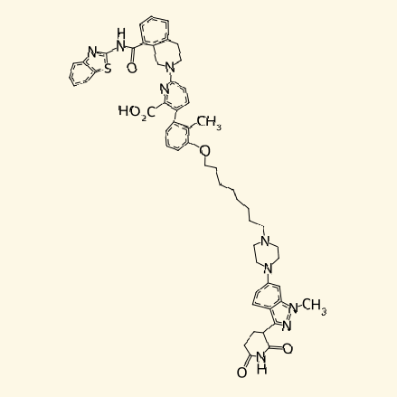 Cc1c(OCCCCCCCCN2CCN(c3ccc4c(C5CCC(=O)NC5=O)nn(C)c4c3)CC2)cccc1-c1ccc(N2CCc3cccc(C(=O)Nc4nc5ccccc5s4)c3C2)nc1C(=O)O